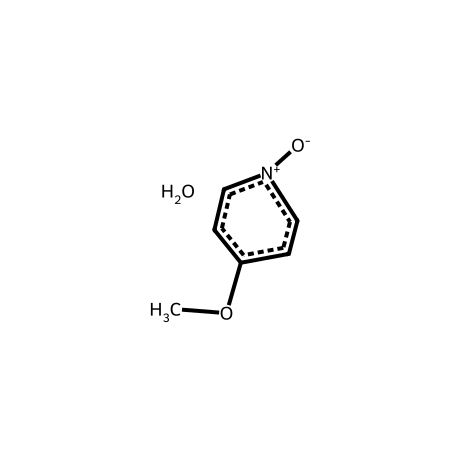 COc1cc[n+]([O-])cc1.O